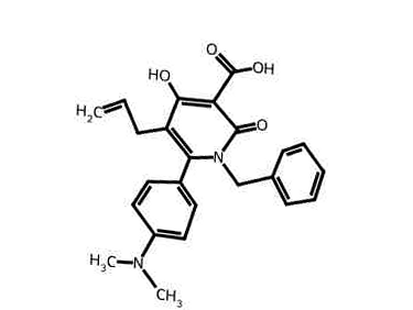 C=CCc1c(O)c(C(=O)O)c(=O)n(Cc2ccccc2)c1-c1ccc(N(C)C)cc1